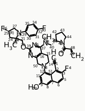 C#Cc1c(F)ccc2cc(O)cc(N3CCc4c(nc(OC[C@]5(C)C[C@@H](F)CN5c5ccc(F)cc5)nc4N(C)C[C@@H]4CCCN4C(=O)C=C)C3)c12